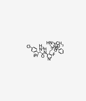 CC(C)C(c1ccc(Cl)cc1)C(N)C(=O)Nc1cncc(F)c1CC[C@H]1CNC[C@H](C)N1S(=O)(=O)c1ccccc1